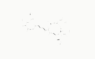 CCOC(C)OC1CCC(C)(OC(C)OCC)C(OC(=O)CCl)/C=C/C(C)C(/C(C)=C/C=C/C(C)CC2OC2C(C)C(CC)OC(C)OCC)OC(=O)C1